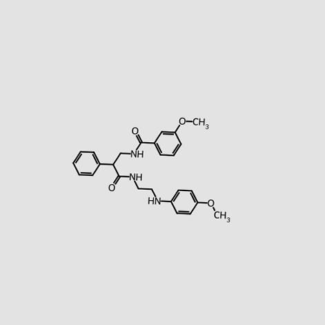 COc1ccc(NCCNC(=O)C(CNC(=O)c2cccc(OC)c2)c2ccccc2)cc1